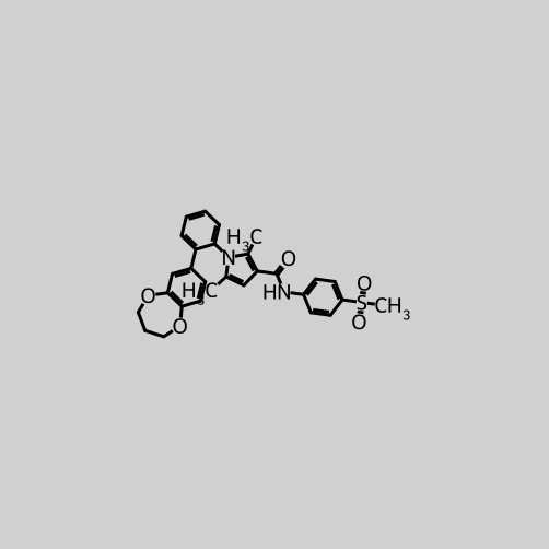 Cc1cc(C(=O)Nc2ccc(S(C)(=O)=O)cc2)c(C)n1-c1ccccc1-c1ccc2c(c1)OCCCO2